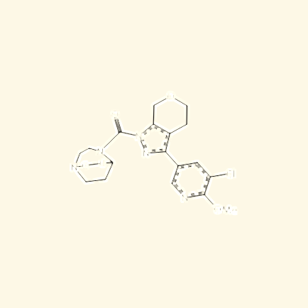 COc1ncc(-c2nn(C(=O)N3CCN4CCC3CC4)c3c2CCOC3)cc1Cl